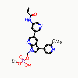 C=CC(=O)Nc1cncc(-c2cnc3c(c2)c(-c2ccnc(OC)c2)cn3COP(=O)(O)OCC)c1